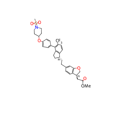 COC(=O)C[C@@H]1COc2cc(CC[C@@H]3CCc4c3ccc(C(F)(F)F)c4-c3ccc(OC4CCN(S(C)(=O)=O)CC4)cc3)ccc21